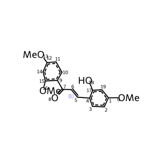 COc1ccc(/C=C/C(=O)c2ccc(OC)cc2OC)c(O)c1